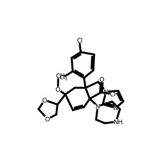 COC1(C2COCO2)C=CC(C(C)=O)(N2CCNCC2)C(Cn2ccnc2)(c2ccc(Cl)cc2Cl)C1